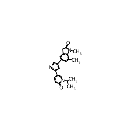 Cc1cc(-c2cncc(-c3ccc(=O)n(C(C)C)c3)c2)cc2c1N(C)C(=O)C2